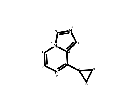 c1cn2cncc2c(C2CC2)n1